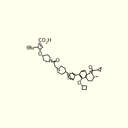 C[C@H]1CCc2c(ccc(-c3cnn(C4CCN(CC(=O)N5CCC(OC6CN(C(=O)O)C6C(C)(C)C)CC5)CC4)c3)c2OC2CCC2)N1C(=O)C1CC1